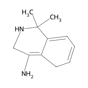 CC1(C)NCC(N)=C2CC=CC=C21